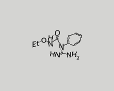 CCONC(=O)N(C(=N)N)c1ccccc1